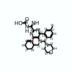 C=Nc1nc(C(=N)NC(=O)O)nc(-c2cccc(C)c2)c1N(CC1CCCCC1)CN1CCOCC1